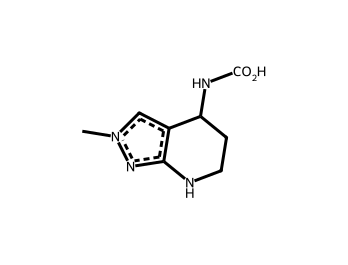 Cn1cc2c(n1)NCCC2NC(=O)O